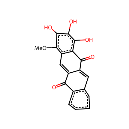 COc1c(O)c(O)c(O)c2c1C=C1C(=O)c3ccccc3C=C1C2=O